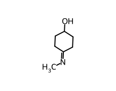 CN=C1CCC(O)CC1